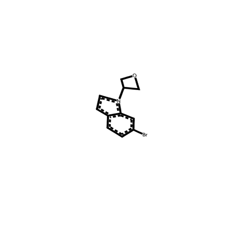 Brc1ccc2ccn(C3COC3)c2c1